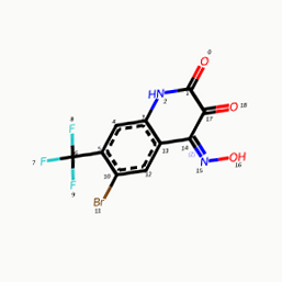 O=C1Nc2cc(C(F)(F)F)c(Br)cc2/C(=N/O)C1=O